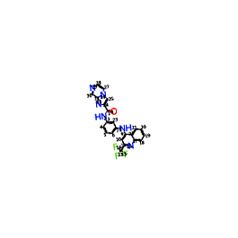 O=C(Nc1cccc(Nc2cc(C(F)(F)F)nc3ccccc23)c1)c1cn2ccncc2n1